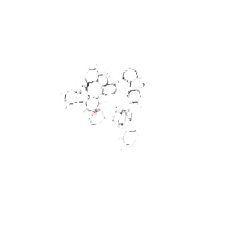 c1ccc(-c2nc(-c3ccccc3)nc(-c3ccc4sc5cccc(-c6cccc7c6sc6cccc(-n8c9ccccc9c9ccccc98)c67)c5c4c3)n2)cc1